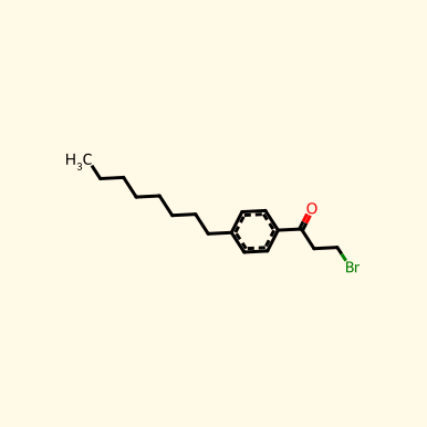 CCCCCCCCc1ccc(C(=O)CCBr)cc1